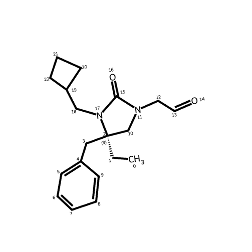 CC[C@@]1(Cc2ccccc2)CN(CC=O)C(=O)N1CC1CCC1